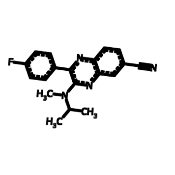 CC(C)N(C)c1nc2cc(C#N)ccc2nc1-c1ccc(F)cc1